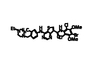 CCN1CCN(Cc2ccc(Nc3ncnc4c(C(=O)Nc5c(Cl)c(OC)c(Br)c(OC)c5Cl)csc34)cc2C(F)(F)F)CC1